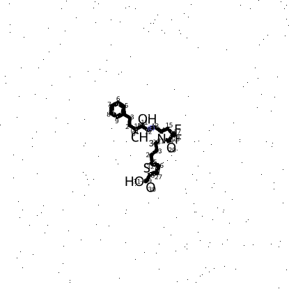 C[C@@H](CCc1ccccc1)[C@H](O)/C=C/C1CC(F)(F)C(=O)N1CCCc1ccc(C(=O)O)s1